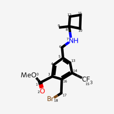 COC(=O)c1cc(CNC2(C)CCC2)cc(C(F)(F)F)c1CBr